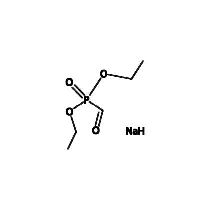 CCOP(=O)(C=O)OCC.[NaH]